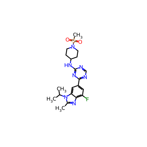 Cc1nc2c(F)cc(-c3ncnc(NC4CCN(S(C)(=O)=O)CC4)n3)cc2n1C(C)C